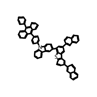 c1ccc(-c2c3ccccc3c(-c3ccc(-n4c5ccccc5c5cc(-c6cc(-c7ccc8ccccc8c7)cc7c6sc6ccc(-c8ccc9ccccc9c8)cc67)ccc54)cc3)c3ccccc23)cc1